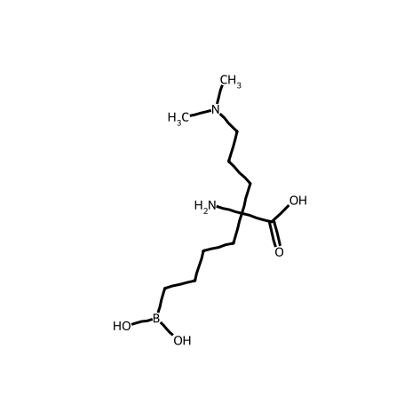 CN(C)CCCC(N)(CCCCB(O)O)C(=O)O